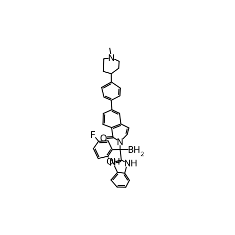 BC(c1nc2ccccc2[nH]1)(c1cc(F)ccc1O)n1ccc2cc(-c3ccc(C4CCN(C)CC4)cc3)ccc2c1=O